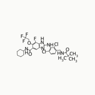 CC(C)(C)C(=O)NCc1ccc(Cl)c(Nc2nc3cc(C(=O)NC4CCCCC4)c(OCC(F)(F)F)c(F)c3[nH]2)c1Cl